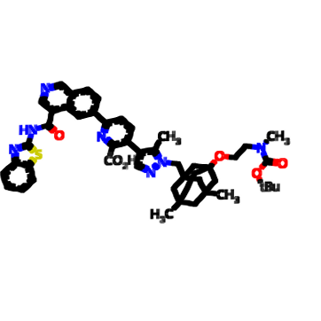 Cc1c(-c2ccc(-c3ccc4cncc(C(=O)Nc5nc6ccccc6s5)c4c3)nc2C(=O)O)cnn1CC12CC3(C)CC(C)(C1)CC(OCCN(C)C(=O)OC(C)(C)C)(C3)C2